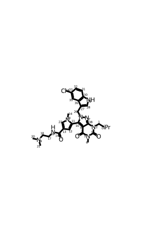 CC(C)Cn1c(=O)n(C)c(=O)c2c(-c3cc(C(=O)NCCN(C)C)cn3C)n(Cc3c[nH]c4ccc(Cl)cc34)nc21